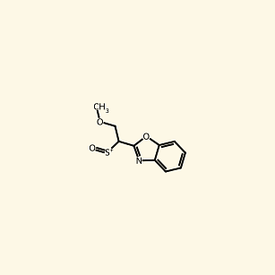 COCC([S+]=O)c1nc2ccccc2o1